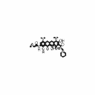 CN(C)CC(=O)Nc1cc(N(C)C)c2c(c1O)C(=O)C1=C(O)[C@]3(O)C(=O)C(C(=O)NCN4CCCCC4)=C(O)[C@@H](N(C)C)C3CC1C2